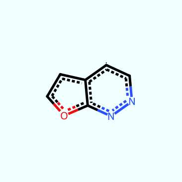 [c]1cnnc2occc12